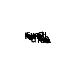 CC(C)(Oc1ncc(Oc2cc(F)c(C(=O)NS(=O)(=O)N3CCC3)cc2Cl)cc1Cl)C(F)(F)F